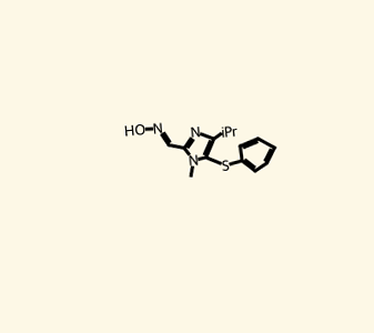 CC(C)c1nc(C=NO)n(C)c1Sc1ccccc1